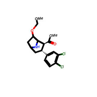 COCOC1CC2C[C@@H](c3ccc(Cl)c(Cl)c3)[C@H](C(=O)OC)C1N2